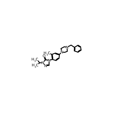 Cc1cc(N2CCN(Cc3ccccc3)CC2)ccc1-n1cnn(C(C)C)c1=O